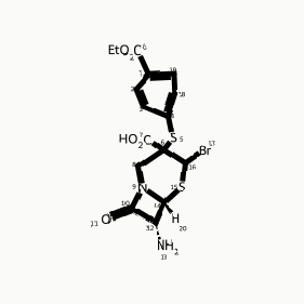 CCOC(=O)c1ccc(SC2(C(=O)O)CN3C(=O)[C@@H](N)[C@H]3SC2Br)cc1